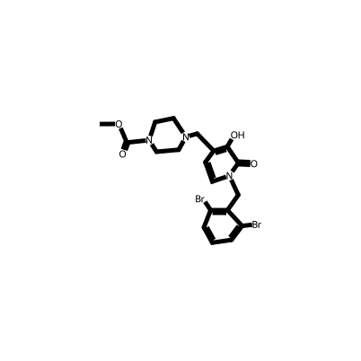 COC(=O)N1CCN(Cc2ccn(Cc3c(Br)cccc3Br)c(=O)c2O)CC1